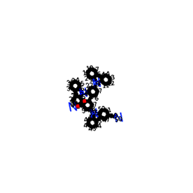 N#Cc1cc(-c2ccc(-n3c4ccccc4c4ccccc43)cc2-n2c3ccccc3c3ccccc32)cc(-n2c3ccccc3c3cc(C#N)ccc32)c1